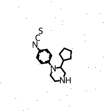 S=C=Nc1ccc(N2CCNCC2C2CCCC2)cc1